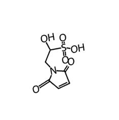 O=C1C=CC(=O)N1CC(O)S(=O)(=O)O